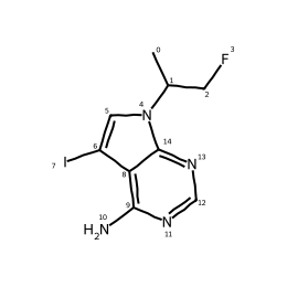 CC(CF)n1cc(I)c2c(N)ncnc21